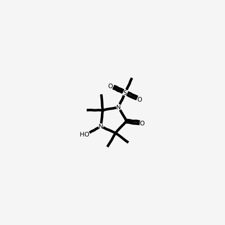 CC1(C)C(=O)N(S(C)(=O)=O)C(C)(C)N1O